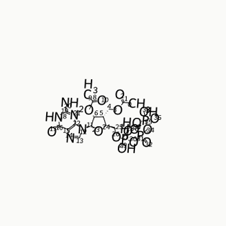 CC(=O)OC[C@H]1[C@@H](OC(C)=O)[C@H](n2cnc3c(=O)[nH]c(N)nc32)O[C@@H]1COP(=O)(O)OP(=O)(O)OP(=O)(O)O